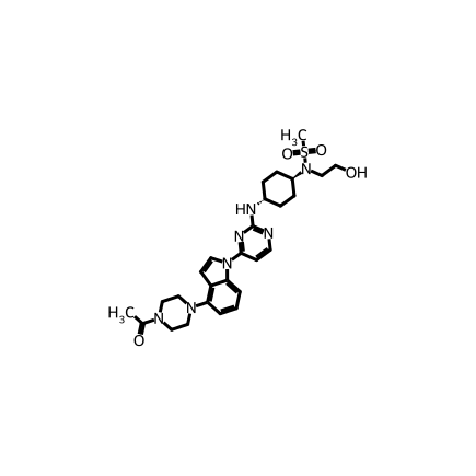 CC(=O)N1CCN(c2cccc3c2ccn3-c2ccnc(N[C@H]3CC[C@H](N(CCO)S(C)(=O)=O)CC3)n2)CC1